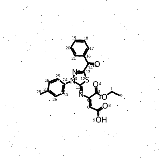 CCOC(=O)C(=CC(=O)O)N=c1sc(C(=O)c2ccccc2)nn1-c1ccc(C)cc1